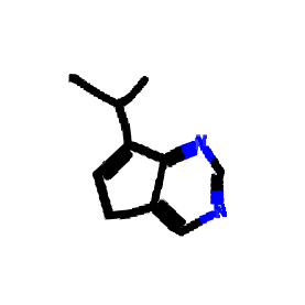 CC(C)C1=CCc2cncnc21